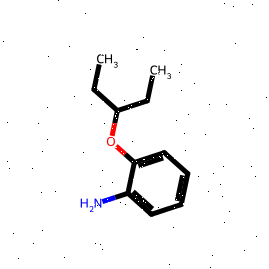 CCC(CC)Oc1ccccc1N